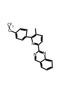 Cc1ccc(-c2ncc3ccccc3n2)nc1-c1ccc(OC(F)(F)F)cc1